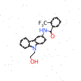 O=C(Nc1ccc2c(c1)c1ccccc1n2CCO)c1ccccc1C(F)(F)F